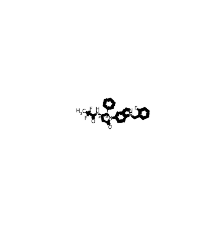 CC(F)(F)C(=O)N[C@@H]1CC(=O)N(c2ccc3c(cnn3Cc3ccccc3F)c2)[C@H]1c1ccccc1